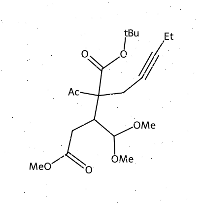 CCC#CCC(C(C)=O)(C(=O)OC(C)(C)C)C(CC(=O)OC)C(OC)OC